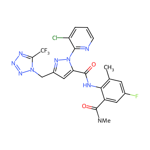 CNC(=O)c1cc(F)cc(C)c1NC(=O)c1cc(Cn2nnnc2C(F)(F)F)nn1-c1ncccc1Cl